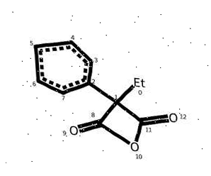 CCC1(c2ccccc2)C(=O)OC1=O